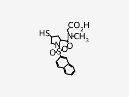 CN(CC(=O)O)C(=O)C1CC(S)CN1S(=O)(=O)c1ccc2ccccc2c1